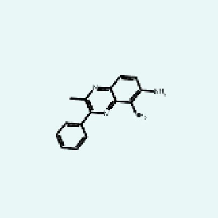 Cc1nc2ccc(N)c(N)c2nc1-c1ccccc1